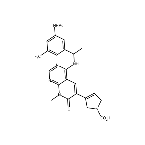 CC(=O)Nc1cc(C(C)Nc2ncnc3c2cc(C2=CCN(C(=O)O)C2)c(=O)n3C)cc(C(F)(F)F)c1